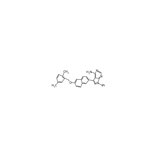 Cc1ccc(C)c(COc2ccc3cc(-c4nn(C(C)C)c5ncnc(N)c45)ccc3c2)c1